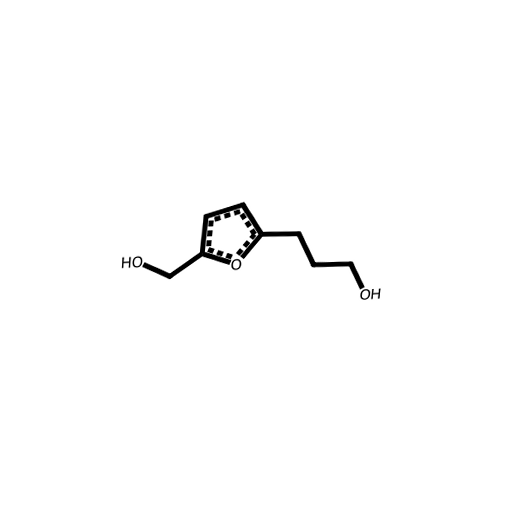 OCCCc1ccc(CO)o1